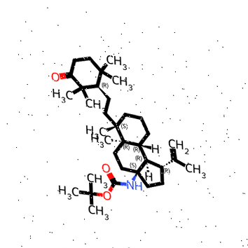 C=C(C)[C@@H]1CC[C@]2(NC(=O)OC(C)(C)C)CC[C@]3(C)[C@H](CCC[C@@]3(C)CC[C@@H]3C(C)(C)CCC(=O)C3(C)C)[C@@H]12